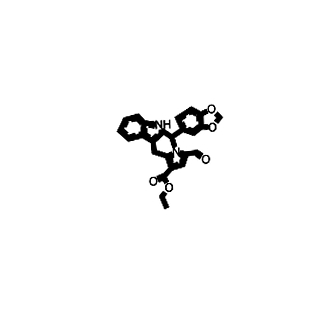 CCOC(=O)c1cc(C=O)n2c1Cc1c([nH]c3ccccc13)C2c1ccc2c(c1)OCO2